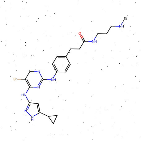 CCNCCCNC(=O)CCc1ccc(Nc2ncc(Br)c(Nc3cc(C4CC4)[nH]n3)n2)cc1